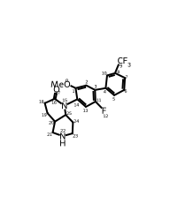 COc1cc(-c2cccc(C(F)(F)F)c2)c(F)cc1N1C(=O)CCC2CNCCC21